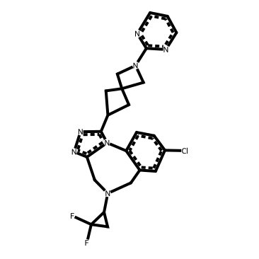 FC1(F)CC1N1Cc2cc(Cl)ccc2-n2c(nnc2C2CC3(C2)CN(c2ncccn2)C3)C1